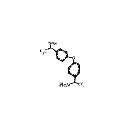 CNC(c1ccc(Oc2ccc(C(NC)C(F)(F)F)cc2)cc1)C(F)(F)F